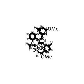 COc1cccc(-c2nnc(NS(=O)(=O)[C@@H](C)[C@H](OC)c3ncc(C)cn3)n2-c2c(OC(F)F)cccc2OC(F)F)n1